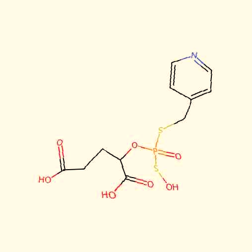 O=C(O)CCC(OP(=O)(SO)SCc1ccncc1)C(=O)O